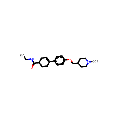 O=C(NCC(F)(F)F)C1CC=C(c2ccc(OCC3CCN(C(=O)O)CC3)cc2)CC1